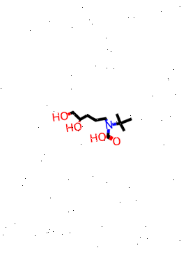 CC(C)(C)N(CCC[C@@H](O)CO)C(=O)O